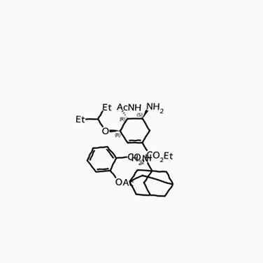 CC(=O)Oc1ccccc1C(=O)O.CCOC(=O)C1=C[C@@H](OC(CC)CC)[C@H](NC(C)=O)[C@@H](N)C1.NC12CC3CC(CC(C3)C1)C2